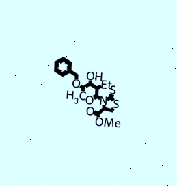 CCC(C(=O)N1C(=S)SCC1C(=O)OC)C(O)C(C)OCc1ccccc1